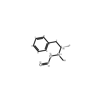 C[C@@H](Cc1ccccc1)N(C)OP=O